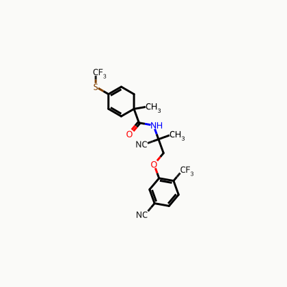 CC(C#N)(COc1cc(C#N)ccc1C(F)(F)F)NC(=O)C1(C)C=CC(SC(F)(F)F)=CC1